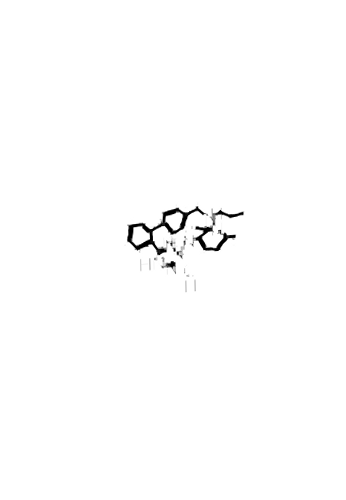 CCCN(Cc1ccc(-c2ccccc2-c2nnn[nH]2)cc1)C1(C)NC(C)=CC=C1N.Cl